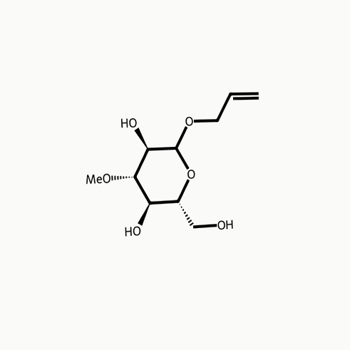 C=CCOC1O[C@H](CO)[C@@H](O)[C@H](OC)[C@H]1O